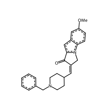 COc1ccc2c(c1)cc1n2C/C(=C/C2CCN(Cc3ccccc3)CC2)C1=O